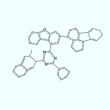 CC1C=c2ccccc2=CC1c1nc(-c2ccccc2)nc(-c2cc(-c3ccc4c5c(cccc35)C3=CCCC=C34)cc3oc4ccccc4c23)n1